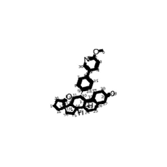 COc1ccc(-c2ccc([C@H]3C[C@@]4(C)[C@@H](CC[C@]45CCCC5=O)[C@@H]4CCC5=CC(=O)CCC5=C43)cc2)cn1